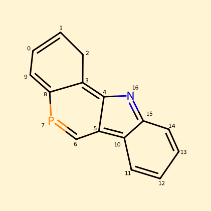 C1=CCc2c3c(cpc2=C1)=c1ccccc1=N3